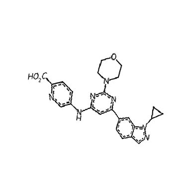 O=C(O)c1ccc(Nc2cc(-c3ccc4cnn(C5CC5)c4c3)nc(N3CCOCC3)n2)cn1